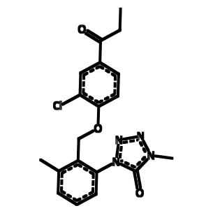 CCC(=O)c1ccc(OCc2c(C)cccc2-n2nnn(C)c2=O)c(Cl)c1